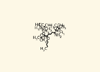 CCCCCOC(CCC[C@H](N)B1OC(C)(C)C(C)(C)O1)C(=O)OC(C)(C)C.C[Si](C)C(C)(C)C.Cl